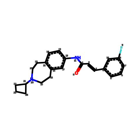 O=C(C=Cc1cccc(F)c1)Nc1ccc2c(c1)CCN(C1CCC1)CC2